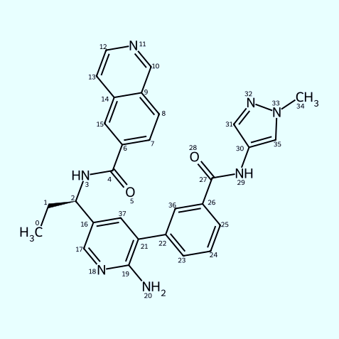 CC[C@@H](NC(=O)c1ccc2cnccc2c1)c1cnc(N)c(-c2cccc(C(=O)Nc3cnn(C)c3)c2)c1